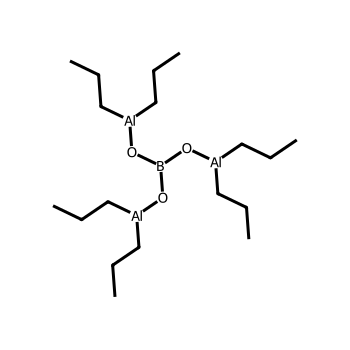 CC[CH2][Al]([CH2]CC)[O]B([O][Al]([CH2]CC)[CH2]CC)[O][Al]([CH2]CC)[CH2]CC